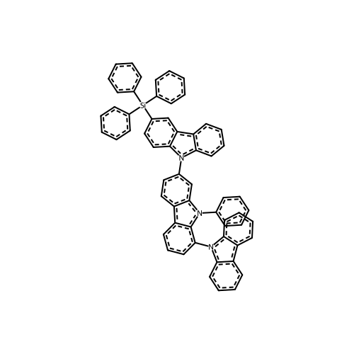 c1ccc(-n2c3cc(-n4c5ccccc5c5cc([Si](c6ccccc6)(c6ccccc6)c6ccccc6)ccc54)ccc3c3cccc(-n4c5ccccc5c5ccccc54)c32)cc1